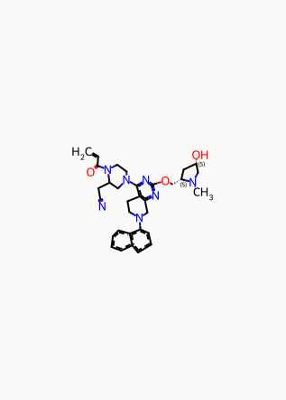 C=CC(=O)N1CCN(c2nc(OC[C@@H]3C[C@H](O)CN3C)nc3c2CCN(c2cccc4ccccc24)C3)CC1CC#N